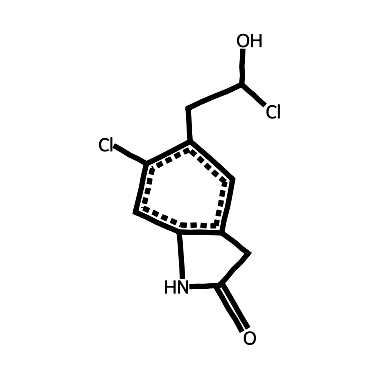 O=C1Cc2cc(CC(O)Cl)c(Cl)cc2N1